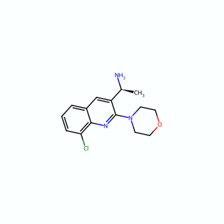 C[C@H](N)c1cc2cccc(Cl)c2nc1N1CCOCC1